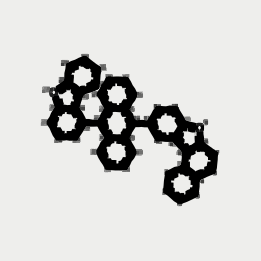 c1ccc2c(c1)ccc1oc3ccc(-c4c5ccccc5c(-c5cccc6oc7ccccc7c56)c5ccccc45)cc3c12